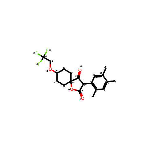 Cc1cc(C)c(C2C(=O)OC3(CCC(OCC(F)(F)F)CC3)C2=O)cc1C